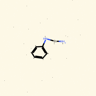 [NH2][Zn][NH]c1ccccc1